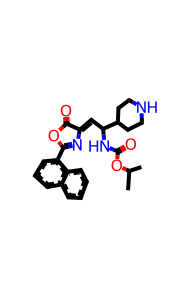 CC(C)OC(=O)NC(C=C1N=C(c2cccc3ccccc23)OC1=O)C1CCNCC1